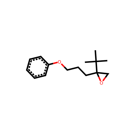 CC(C)(C)C1(CCCOc2ccccc2)CO1